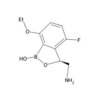 CCOc1ccc(F)c2c1B(O)O[C@@H]2CN